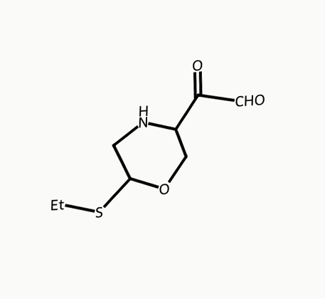 CCSC1CNC(C(=O)C=O)CO1